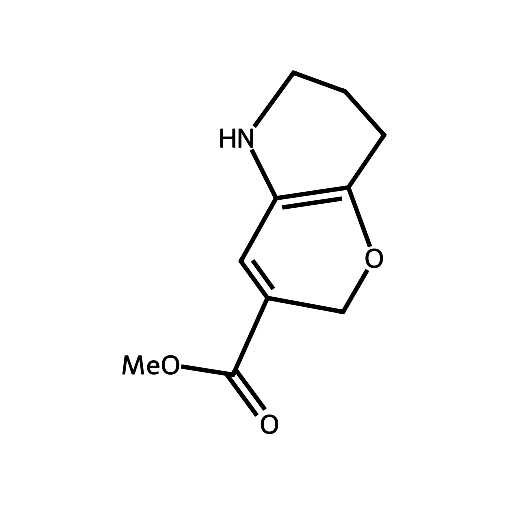 COC(=O)C1=CC2=C(CCCN2)OC1